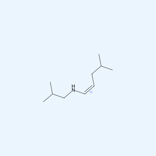 CC(C)C/C=C\NCC(C)C